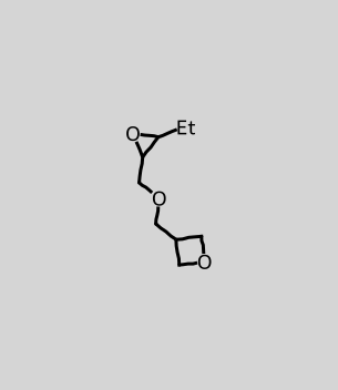 CCC1OC1COCC1COC1